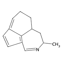 CC1CC2CCC=C3C=CC(=C32)C=N1